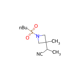 CCCCS(=O)(=O)N1CC(C)(C(C)C#N)C1